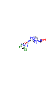 C[C@@H](O)CNCC1CCCN1c1ncc(Cn2cc(NC(=O)c3cncc(-c4c(C(F)F)ccc(Cl)c4F)n3)cn2)cn1